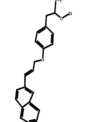 CCOC(Cc1ccc(OCC=Cc2ccc3ccccc3c2)cc1)C(=O)O